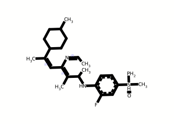 C\C=N/C(/C=C(/C)C1CCC(C)CC1)=C(/C)C(C)Nc1ccc([SH](C)(=O)P)cc1F